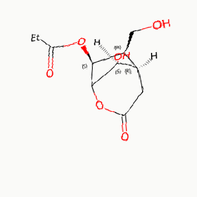 CCC(=O)O[C@@H]1C2OC(=O)C[C@H]([C@@H]1CO)[C@@H]2O